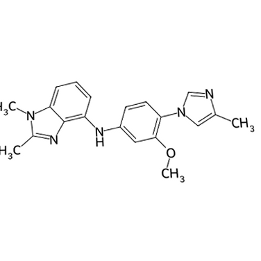 COc1cc(Nc2cccc3c2nc(C)n3C)ccc1-n1cnc(C)c1